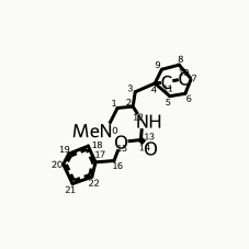 CNCC(CC12CCC(CC1)CC2)NC(=O)OCc1ccccc1